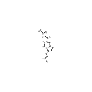 CC(C)=CCn1ccc2cc(C(C)=CC(=O)O)ccc21